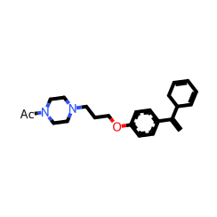 C=C(c1ccc(OCCCN2CCN(C(C)=O)CC2)cc1)C1C=CC=CC1